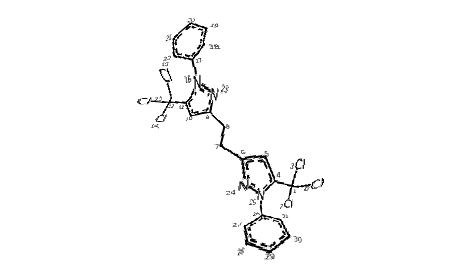 ClC(Cl)(Cl)c1cc(CCc2cc(C(Cl)(Cl)Cl)n(-c3ccccc3)n2)nn1-c1ccccc1